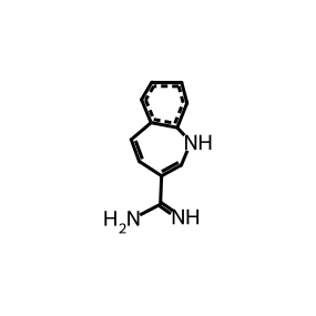 N=C(N)C1=CNc2ccccc2C=C1